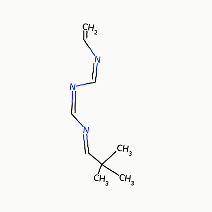 C=C\N=C/N=C\N=C\C(C)(C)C